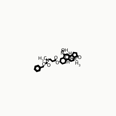 CN(CCC(=O)O[C@H]1CC[C@@]2(C)C(C1)/C(=N/O)C[C@@H]1[C@@H]2CC[C@]2(C)C(=O)CC[C@@H]12)C(=O)OCc1ccccc1